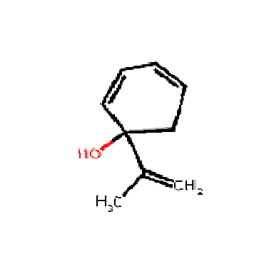 C=C(C)C1(O)C=CC=CC1